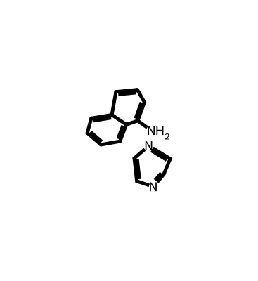 Nc1cccc2ccccc12.c1cnccn1